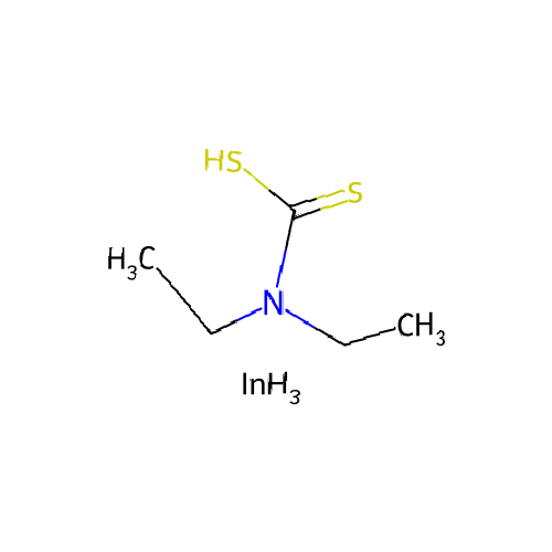 CCN(CC)C(=S)S.[InH3]